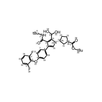 CC(C)(C)NC(=O)c1c(-c2ccc(Oc3c(F)cccc3F)cc2)cn([C@@H]2CCN(C(=O)OC(C)(C)C)C2)c1C(O)O